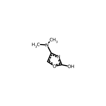 CN(C)c1coc(O)n1